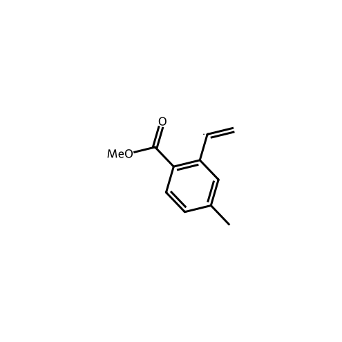 C=[C]c1cc(C)ccc1C(=O)OC